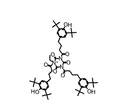 CC[N+]1(C(=O)CCCc2cc(C(C)(C)C)c(O)c(C(C)(C)C)c2)C(=O)N(C(=O)CCCc2cc(C(C)(C)C)c(O)c(C(C)(C)C)c2)C(=O)N(C(=O)CCCc2cc(C(C)(C)C)c(O)c(C(C)(C)C)c2)C1=O